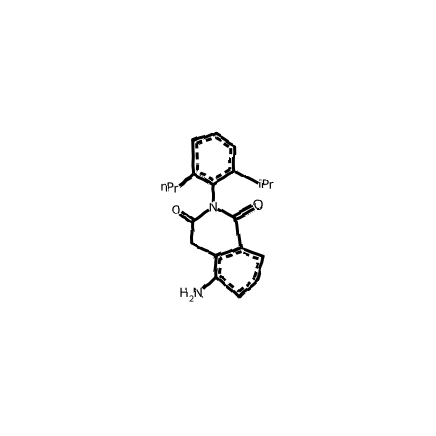 CCCc1cccc(C(C)C)c1N1C(=O)Cc2c(N)cccc2C1=O